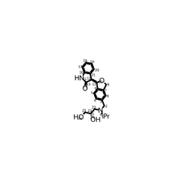 CC(C)N(Cc1ccc2c(c1)COC2=C1C(=O)Nc2ccccc21)C[C@H](O)CO